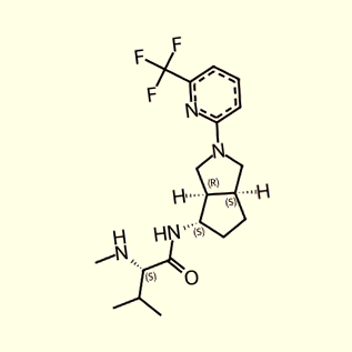 CN[C@H](C(=O)N[C@H]1CC[C@@H]2CN(c3cccc(C(F)(F)F)n3)C[C@@H]21)C(C)C